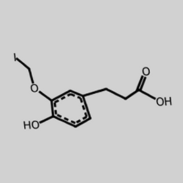 O=C(O)CCc1ccc(O)c(OCI)c1